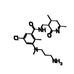 CC1=NC(=O)C(CNC(=O)c2cc(Cl)cc(N(C)CCCN)c2C)C(C)C1